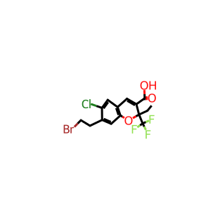 CCC1(C(F)(F)F)Oc2cc(CCBr)c(Cl)cc2C=C1C(=O)O